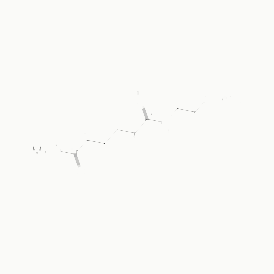 CCCCCCCCCOC(=O)CCCCC(=O)OC